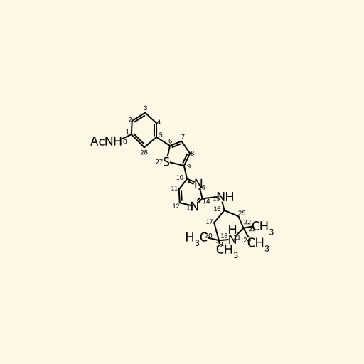 CC(=O)Nc1cccc(-c2ccc(-c3ccnc(NC4CC(C)(C)NC(C)(C)C4)n3)s2)c1